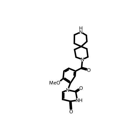 COc1ccc(C(=O)N2CCC3(CCNCC3)CC2)cc1-n1ccc(=O)[nH]c1=O